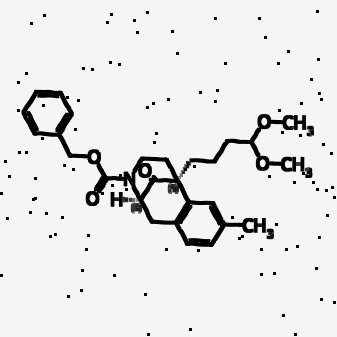 COC(CCC[C@]12CCN(C(=O)OCc3ccccc3)[C@H](Cc3ccc(C)cc31)C2=O)OC